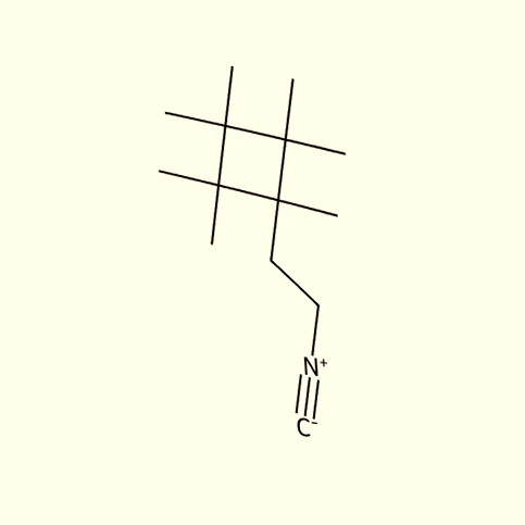 [C-]#[N+]CCC1(C)C(C)(C)C(C)(C)C1(C)C